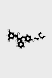 CCN(CC)CCOc1ccc(Cc2c(C(=O)c3cc(C)cc(C)c3)oc3ccccc23)cc1